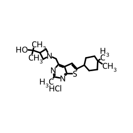 Cc1nc(CN2CC(C(C)(C)O)C2)c2cc(C3CCC(C)(C)CC3)sc2n1.Cl